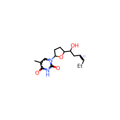 CC/C=C\CC(O)C1CCC(n2cc(C)c(=O)[nH]c2=O)O1